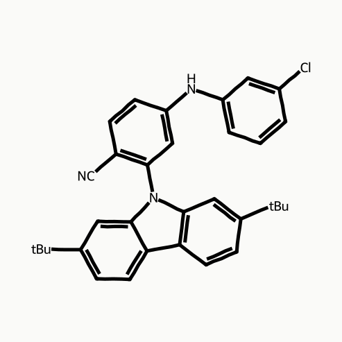 CC(C)(C)c1ccc2c3ccc(C(C)(C)C)cc3n(-c3cc(Nc4cccc(Cl)c4)ccc3C#N)c2c1